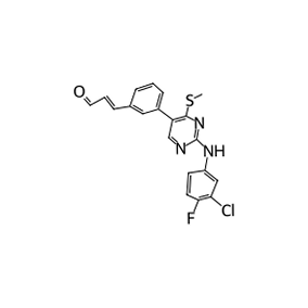 CSc1nc(Nc2ccc(F)c(Cl)c2)ncc1-c1cccc(/C=C/C=O)c1